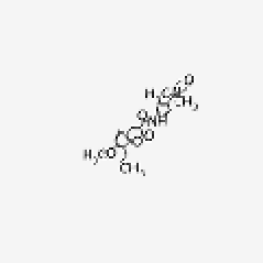 CCCc1c(OC)ccc2cc(C(=O)Nc3ccc(C(C)(C)N4CCOCC4)cc3)c(=O)oc12